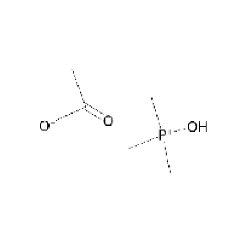 CC(=O)[O-].C[P+](C)(C)O